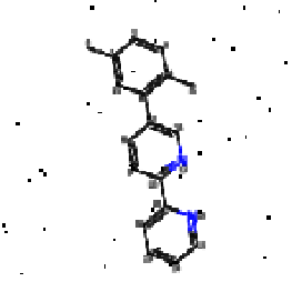 Cc1ccc(C)c(-c2ccc(-c3ccccn3)nc2)c1